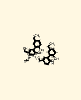 CCc1ccc(O)c(-c2cc(CC)ccc2O)c1.CCc1ccc(O)c(-c2cc(CC)ccc2O)c1.O=S=O